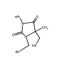 CCCN1C(=O)N(CC(C)C)C(C)(CS)C1=O